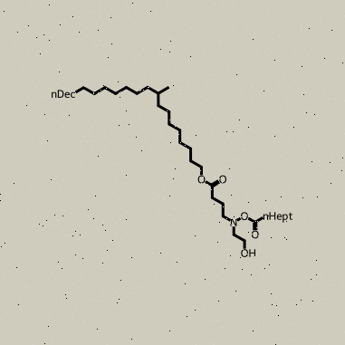 CCCCCCCCCCCCCCCCCC(C)CCCCCCCCOC(=O)CCCN(CCO)OC(=O)CCCCCCC